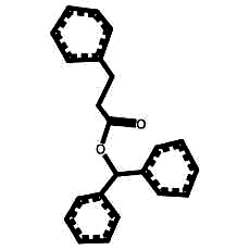 O=C(CCc1ccccc1)OC(c1ccccc1)c1ccccc1